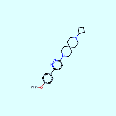 CCCOc1ccc(-c2ccc(N3CCC4(CC3)CCN(C3CCC3)CC4)nn2)cc1